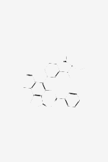 CO[C@@](C)(C(=O)O)C(C)C1=CC(c2c(C=O)c(C)c3c(c2OC(=O)c2ccccc2)C(=O)OC3)CCC1